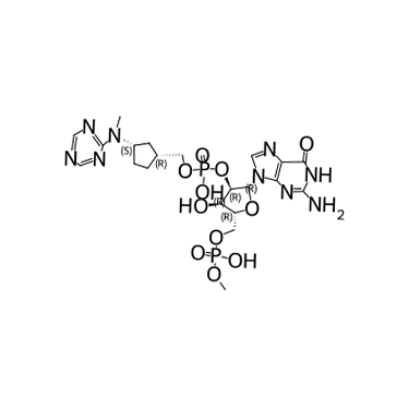 COP(=O)(O)OC[C@H]1O[C@@H](n2cnc3c(=O)[nH]c(N)nc32)[C@H](OP(=O)(O)OC[C@@H]2CC[C@H](N(C)c3ncncn3)C2)[C@@H]1O